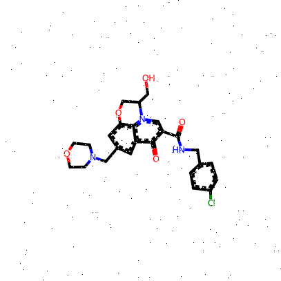 O=C(NCc1ccc(Cl)cc1)c1cn2c3c(cc(CN4CCOCC4)cc3c1=O)OCC2CO